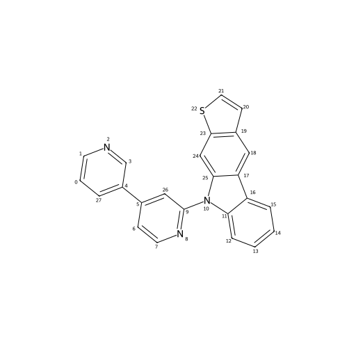 c1cncc(-c2ccnc(-n3c4ccccc4c4cc5ccsc5cc43)c2)c1